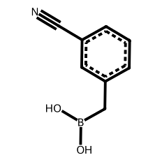 N#Cc1cccc(CB(O)O)c1